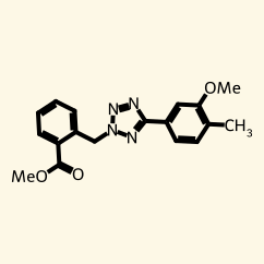 COC(=O)c1ccccc1Cn1nnc(-c2ccc(C)c(OC)c2)n1